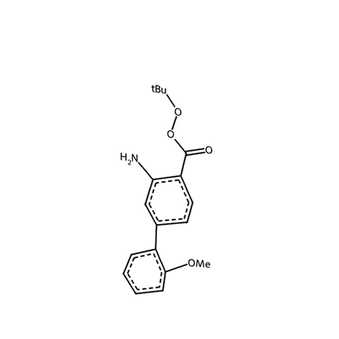 COc1ccccc1-c1ccc(C(=O)OOC(C)(C)C)c(N)c1